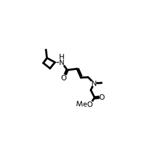 COC(=O)CN(C)C/C=C/C(=O)N[C@@H]1CCC1C